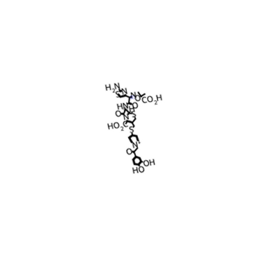 CC(C)(O/N=C(\C(=O)N[C@@H]1C(=O)N2C(C(=O)O)=C(CSc3cc[n+](CC(=O)c4ccc(O)c(O)c4)cc3)CS[C@H]12)c1csc(N)n1)C(=O)O